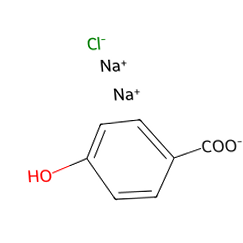 O=C([O-])c1ccc(O)cc1.[Cl-].[Na+].[Na+]